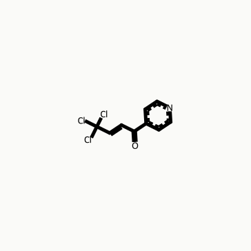 O=C(/C=C/C(Cl)(Cl)Cl)c1ccncc1